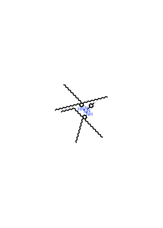 [CH2]c1ccc(-c2nc(Nc3cc(CCCCCCCCCCCCCC)c(CCCCCCCCCCCCCC)c(CCCCCCCCCCCCCC)c3)nc(Nc3cc(CCCCCCCCCCCCCC)c(CCCCCCCCCCCCCC)c(CCCCCCCCCCCCCC)c3)n2)cc1